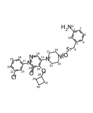 Nc1cccc(CSON2CCN(c3cnn(-c4cccc(Cl)c4)c(=O)c3OC3CCC3)CC2)c1